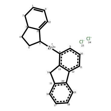 C1=CCC2CC[CH]([Zr+2][c]3cccc4c3Cc3ccccc3-4)C2=C1.[Cl-].[Cl-]